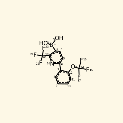 OB(O)c1ccc(-c2ccccc2OC(F)(F)F)nc1C(F)(F)F